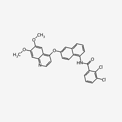 COc1cc2nccc(Oc3ccc4c(NC(=O)c5cccc(Cl)c5Cl)cccc4c3)c2cc1OC